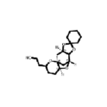 N#CCCC1CC[C@@H]2O[C@@H]3C[C@]2(C[C@H]2OC4(CCCCC4)OC32)O1